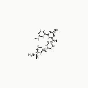 CCc1cccc(-c2cc(Nc3ccc(Oc4ccnc(C(N)=O)c4)cc3)nc(N)n2)c1